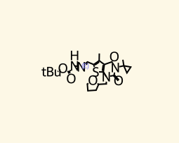 Cc1c(/C=N/NC(=O)OC(C)(C)C)sc2c1c(=O)n(C1(C)CC1)c(=O)n2CC1CCCO1